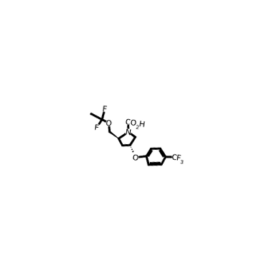 CC(F)(F)OC[C@@H]1C[C@@H](Oc2ccc(C(F)(F)F)cc2)CN1C(=O)O